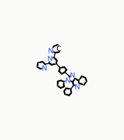 c1ccc(-c2nc3ccccc3c3nc(-c4ccc(-c5cc(-c6ccccn6)nc(-c6ccccn6)c5)cc4)n(-c4ccccc4)c23)cc1